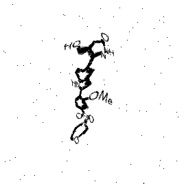 COc1cc(S(=O)(=O)N2CCOCC2)ccc1-c1cc2cc(C3=NNC(=O)CC3CO)ccc2[nH]1